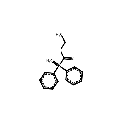 C=P(C(=O)OCC)(c1ccccc1)c1ccccc1